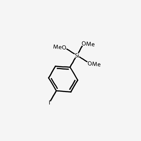 CO[Si](OC)(OC)c1ccc(I)cc1